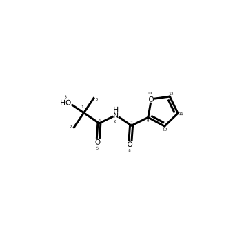 CC(C)(O)C(=O)NC(=O)c1ccco1